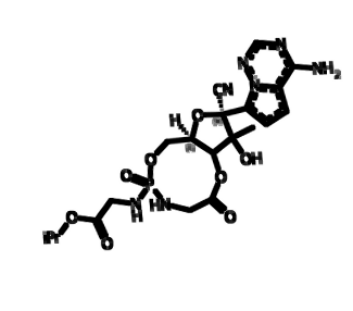 CC(C)OC(=O)CNP1(=O)NCC(=O)OC2[C@@H](CO1)O[C@@](C#N)(c1ccc3c(N)ncnn13)C2(C)O